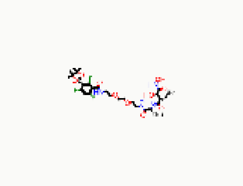 CC(C)C[C@@H](C(=O)N[C@H](C(=O)NCCOCCOCCNC(=O)c1c(F)cc(F)c(B2OC(C)(C)C(C)(C)O2)c1F)C(C)(C)C)[C@H](O)C(=O)NO